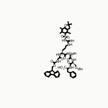 Cc1c(C)c(S(=O)(=O)NC(=N)NCCC[C@H](NC(=O)CNC(=O)OCC2c3ccccc3-c3ccccc32)C(=O)N[C@H](C(=O)N[C@@H](COC(C)(C)C)C(=O)N[C@@H](Cc2ccccc2)C(=O)O)C(C)C)c(C)c2c1OC(C)(C)C2